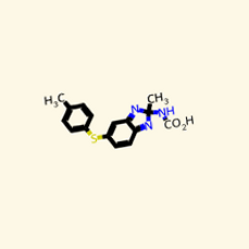 Cc1ccc(Sc2ccc3c(c2)=NC(C)(NC(=O)O)N=3)cc1